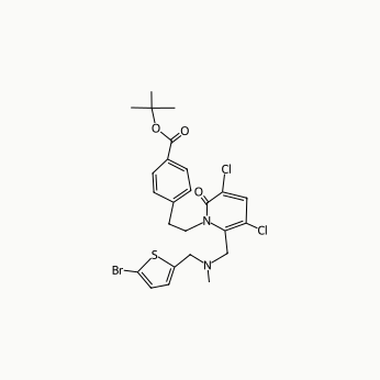 CN(Cc1ccc(Br)s1)Cc1c(Cl)cc(Cl)c(=O)n1CCc1ccc(C(=O)OC(C)(C)C)cc1